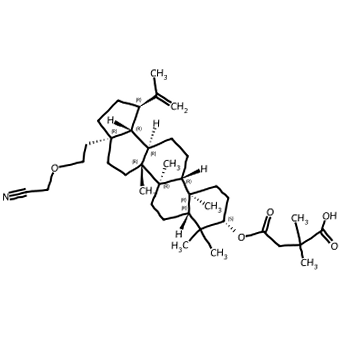 C=C(C)[C@@H]1CC[C@]2(CCOCC#N)CC[C@]3(C)[C@H](CC[C@@H]4[C@@]5(C)CC[C@H](OC(=O)CC(C)(C)C(=O)O)C(C)(C)[C@@H]5CC[C@]43C)[C@@H]12